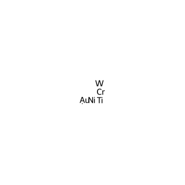 [Au].[Cr].[Ni].[Ti].[W]